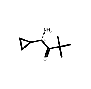 CC(C)(C)C(=O)[C@@H](N)C1CC1